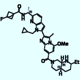 CCC1CC[C@@H]2CCN(C(=O)c3cc(OC)n4c(C)c(-c5cc6ccc([C@@H](C)NC(=O)C78CC(F)(C7)C8)nc6n5CC5CC5)nc4c3)C[C@@H]2N1